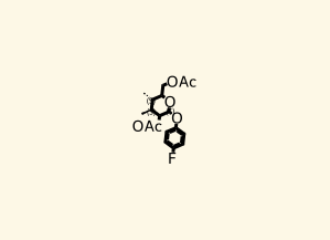 CC(=O)OCC1O[C@@H](Oc2ccc(F)cc2)C(OC(C)=O)[C@@H](C)[C@@H]1C